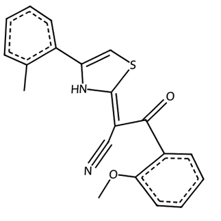 COc1ccccc1C(=O)C(C#N)=C1NC(c2ccccc2C)=CS1